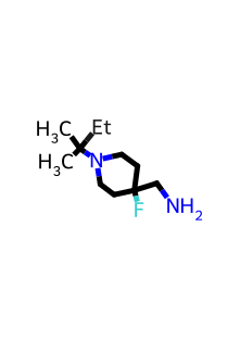 CCC(C)(C)N1CCC(F)(CN)CC1